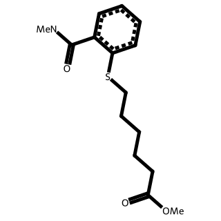 CNC(=O)c1ccccc1SCCCCCC(=O)OC